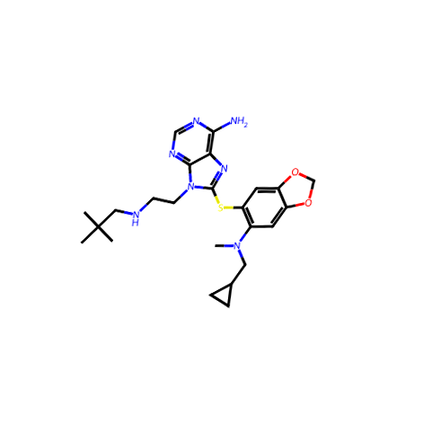 CN(CC1CC1)c1cc2c(cc1Sc1nc3c(N)ncnc3n1CCNCC(C)(C)C)OCO2